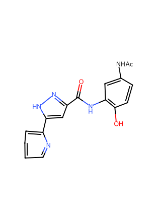 CC(=O)Nc1ccc(O)c(NC(=O)c2cc(-c3ccccn3)[nH]n2)c1